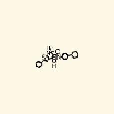 O=C(Nc1ccc(C2CCCCC2)cc1)c1c(O)c2cc(-c3ccccc3)sc2[nH]c1=O